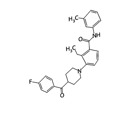 CCc1c(C(=O)Nc2cccc(C)c2)cccc1N1CCC(C(=O)c2ccc(F)cc2)CC1